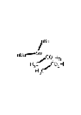 CC(=O)O.CC(=O)O.CCC[CH2][Sn][CH2]CCC.[Ti]